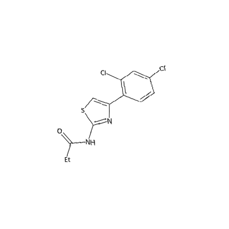 CCC(=O)Nc1nc(-c2ccc(Cl)cc2Cl)cs1